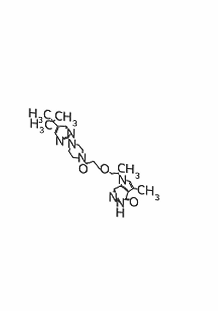 Cc1cn(C(C)COCCC(=O)N2CCN(c3ncc(C(C)(C)C)cn3)CC2)c2cn[nH]c(=O)c12